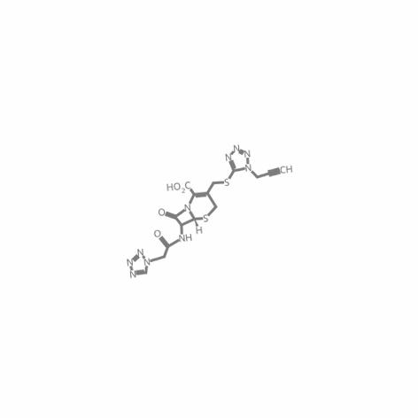 C#CCn1nnnc1SCC1=C(C(=O)O)N2C(=O)C(NC(=O)Cn3cnnn3)[C@H]2SC1